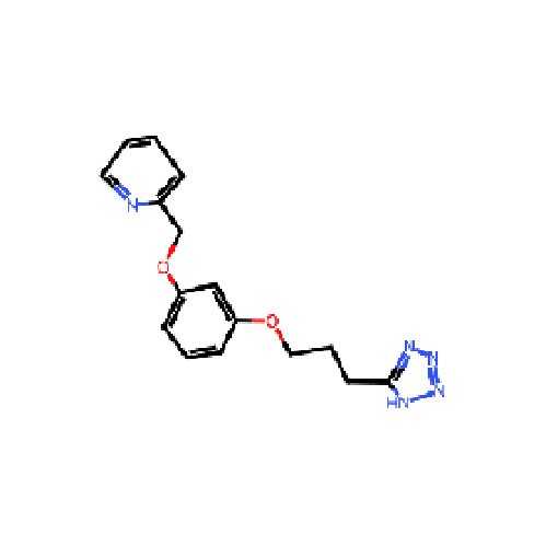 c1ccc(COc2cccc(OCCCc3nnn[nH]3)c2)nc1